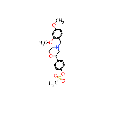 COc1ccc(CN2CCO[C@H](c3ccc(OS(C)(=O)=O)cc3)C2)c(OC)c1